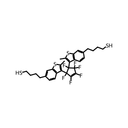 Cc1sc2cc(CCCCS)ccc2c1C1(F)C(F)=C(F)C(F)(F)C1(F)c1c(C)sc2cc(CCCCS)ccc12